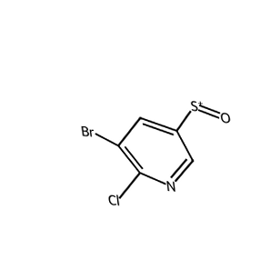 O=[S+]c1cnc(Cl)c(Br)c1